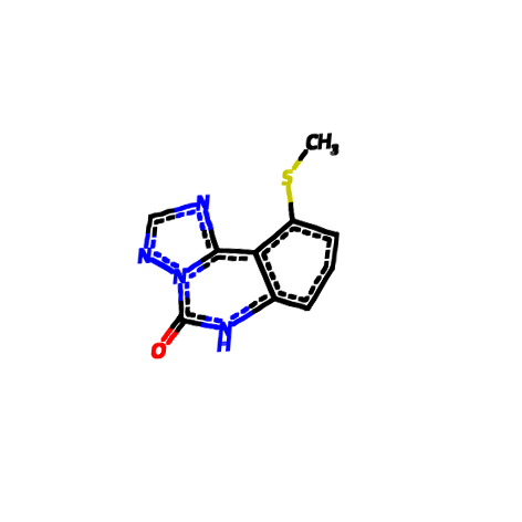 CSc1cccc2[nH]c(=O)n3ncnc3c12